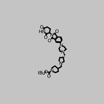 CC(C)(C)OC(=O)N1CCC(CN2CC[C@H](CN3CCN(c4ccc5c(c4)C(=O)N(C4CCC(=O)NC4=O)C5=O)CC3)C2)CC1